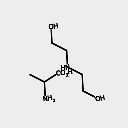 CC(N)C(=O)O.OCCNCCO